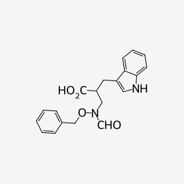 O=CN(CC(Cc1c[nH]c2ccccc12)C(=O)O)OCc1ccccc1